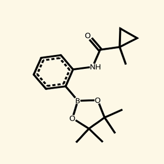 CC1(C(=O)Nc2ccccc2B2OC(C)(C)C(C)(C)O2)CC1